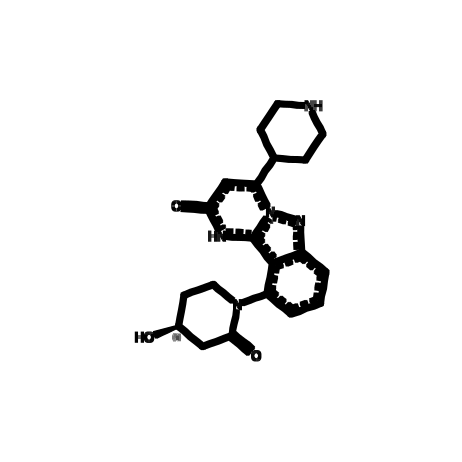 O=C1C[C@@H](O)CCN1c1cccc2nn3c(C4CCNCC4)cc(=O)[nH]c3c12